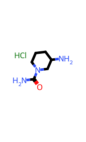 Cl.NC(=O)N1CCCC(N)C1